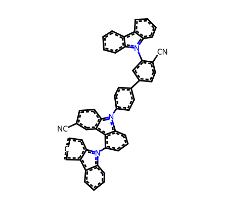 N#Cc1ccc2c(c1)c1c(-n3c4ccccc4c4ccccc43)cccc1n2-c1ccc(-c2ccc(C#N)c(-n3c4ccccc4c4ccccc43)c2)cc1